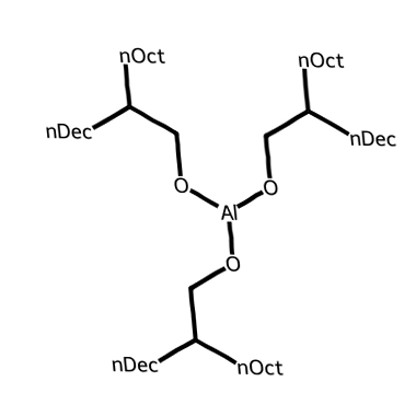 CCCCCCCCCCC(CCCCCCCC)C[O][Al]([O]CC(CCCCCCCC)CCCCCCCCCC)[O]CC(CCCCCCCC)CCCCCCCCCC